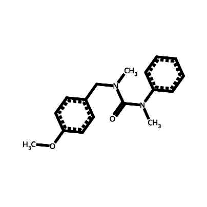 COc1ccc(CN(C)C(=O)N(C)c2ccccc2)cc1